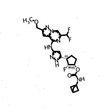 COCc1cc2c(Nc3cc([C@@H]4CC[C@H](OC(=O)NC56CC(C5)C6)[C@@H]4F)[nH]n3)nc(C(F)F)cn2n1